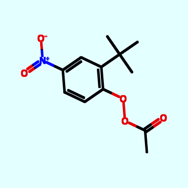 CC(=O)OOc1ccc([N+](=O)[O-])cc1C(C)(C)C